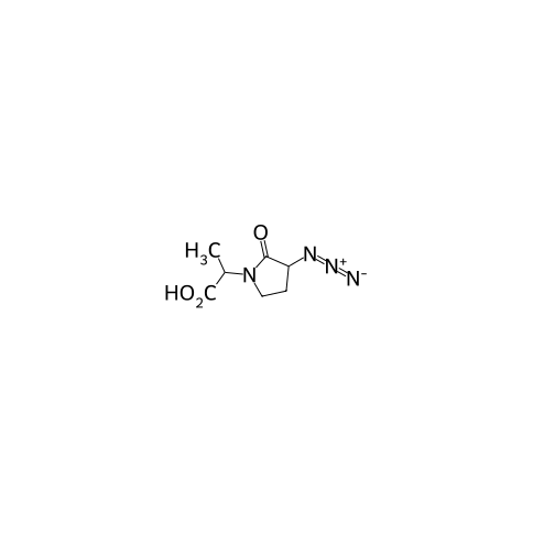 CC(C(=O)O)N1CCC(N=[N+]=[N-])C1=O